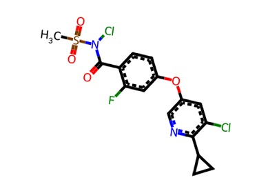 CS(=O)(=O)N(Cl)C(=O)c1ccc(Oc2cnc(C3CC3)c(Cl)c2)cc1F